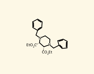 CCOC(=O)[C@@H]1[C@H](C(=O)OCC)N(Cc2ccccc2)CCN1Cc1ccccc1